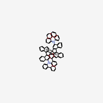 CC(C)(C)C1(C2(C(C)(C)C)c3ccc4ccccc4c3-c3c2cc(N(c2ccccc2-c2ccccc2)c2ccccc2-c2ccccc2)c2ccccc32)C2=C(c3c1ccc1ccccc31)C1C=CC=CC1C(N(c1ccccc1-c1ccccc1)c1ccccc1-c1ccccc1)=C2